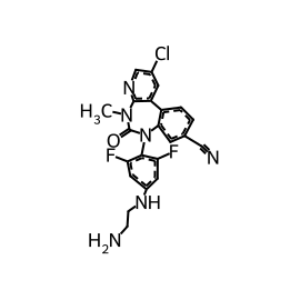 CN1C(=O)N(c2c(F)cc(NCCN)cc2F)c2cc(C#N)ccc2-c2cc(Cl)cnc21